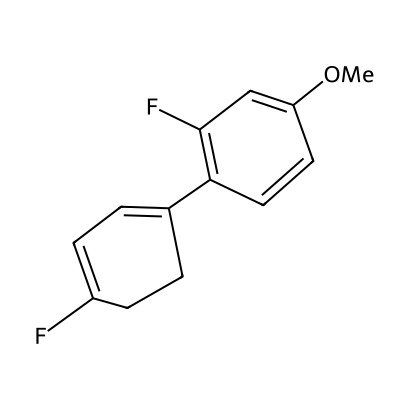 COc1ccc(C2=CC=C(F)CC2)c(F)c1